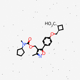 Cc1noc(-c2ccc(OC[C@@H]3CC[C@H]3C(=O)O)cc2)c1COC(=O)N(C)C1CCCC1